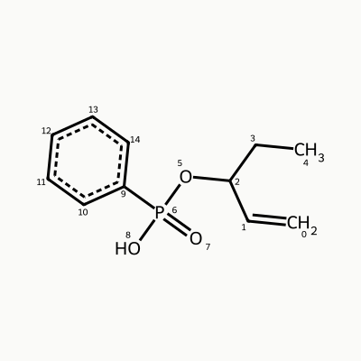 C=CC(CC)OP(=O)(O)c1ccccc1